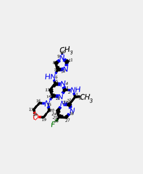 CC(Nc1nc(Nc2cn(C)cn2)cc(N2CCOCC2)n1)c1ncc(F)cn1